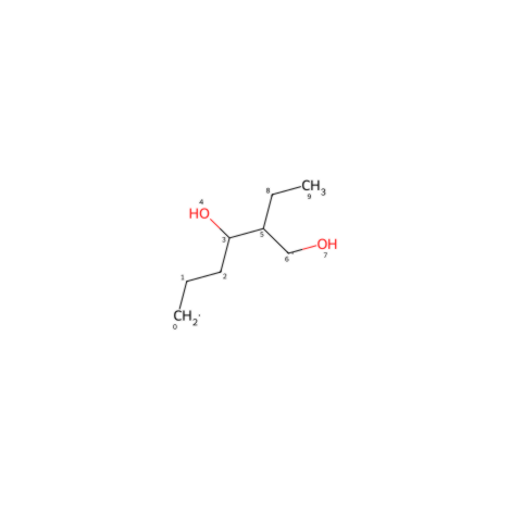 [CH2]CCC(O)C([CH]O)CC